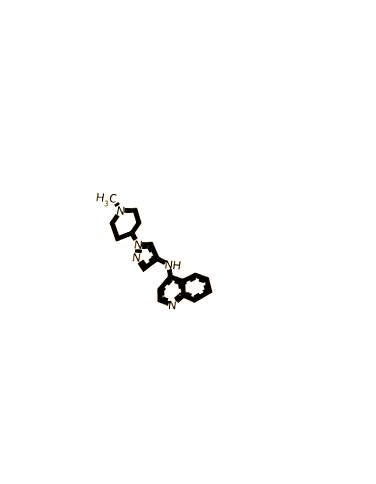 CN1CCC(n2cc(Nc3ccnc4ccccc34)cn2)CC1